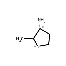 CC1NCC[C@H]1N